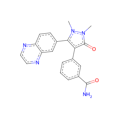 Cn1c(-c2ccc3nccnc3c2)c(-c2cccc(C(N)=O)c2)c(=O)n1C